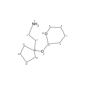 NCCC1(OC2CCCCO2)CCCC1